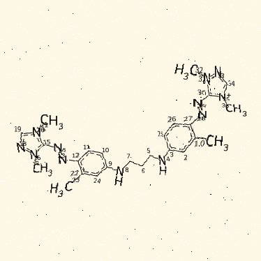 Cc1cc(NCCCNc2ccc(N=Nc3n(C)nc[n+]3C)c(C)c2)ccc1N=Nc1n(C)nc[n+]1C